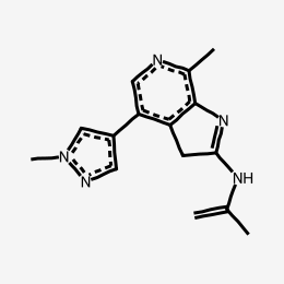 C=C(C)NC1=Nc2c(C)ncc(-c3cnn(C)c3)c2C1